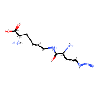 [N-]=[N+]=NCC[C@H](N)C(=O)NCCCC[C@H](N)C(=O)O